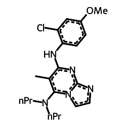 CCCN(CCC)c1c(C)c(Nc2ccc(OC)cc2Cl)nc2nccn12